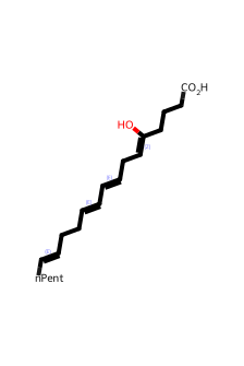 CCCCC/C=C/CC/C=C/C=C/C/C=C(\O)CCCC(=O)O